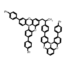 CC(C)c1ccc(-c2ccc3c(c2)Oc2cc(CC(C)c4ccc(-c5ccc6c(c5)B5c7cc(-c8ccc(C(C)C)cc8)ccc7Oc7cccc(c75)O6)cc4)cc4c2B3c2ccc(-c3ccc(C(C)C)cc3)cc2O4)cc1